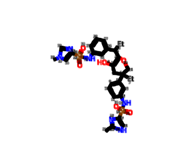 CCC(C1=C(O)CC(CC)(c2cccc(NS(=O)(=O)c3c[nH]c(C)n3)c2)CO1)c1cccc(NS(=O)(=O)c2cn(C)cn2)c1